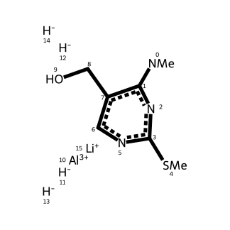 CNc1nc(SC)ncc1CO.[Al+3].[H-].[H-].[H-].[H-].[Li+]